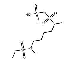 CCS(=O)(=O)N(C)CCCCN(C)S(=O)(=O)CS(=O)(=O)O